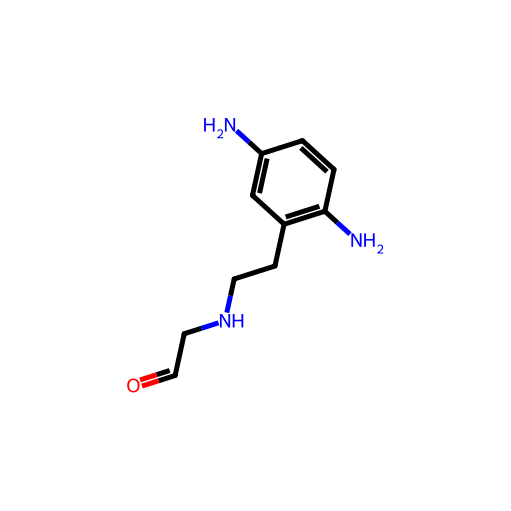 Nc1ccc(N)c(CCNCC=O)c1